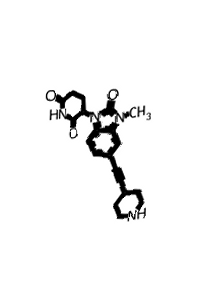 Cn1c(=O)n(C2CCC(=O)NC2=O)c2ccc(C#CC3CCNCC3)cc21